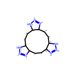 C1CC2N=NNC2CCC2NN=NC2CCC2NN=NC12